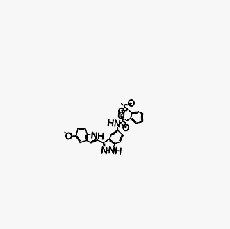 COc1ccc2[nH]c(-c3n[nH]c4ccc(NS(=O)(=O)c5ccccc5S(C)(=O)=O)cc34)cc2c1